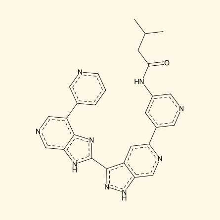 CC(C)CC(=O)Nc1cncc(-c2cc3c(-c4nc5c(-c6cccnc6)cncc5[nH]4)n[nH]c3cn2)c1